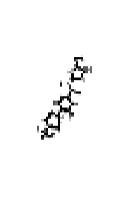 CCC1CC(NC(C)c2ccc(-c3ccc(C(F)(F)F)nc3)c(F)c2)=CN1